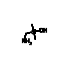 C[Si](C)(O)CN